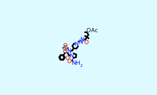 CC(=O)OC(C)CC(C)(C)C(=O)N=NCN1CCC(CN(CS(C)(=O)=O)[C@H](Cc2ccccc2)C(=O)N2CCC[C@H]2C(N)=O)CC1